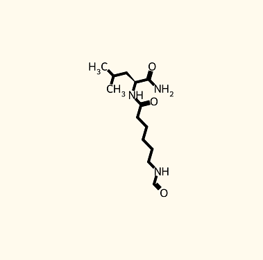 CC(C)C[C@H](NC(=O)CCCCCNC=O)C(N)=O